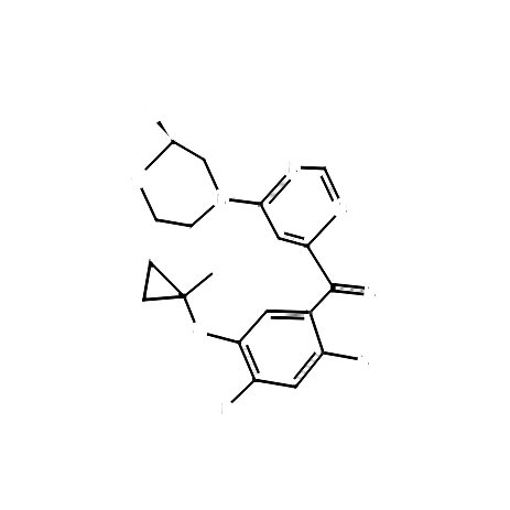 C[C@H]1CN(c2cc(C(=N)c3cc(OC4(C)CC4)c(F)cc3N)ncn2)CCO1